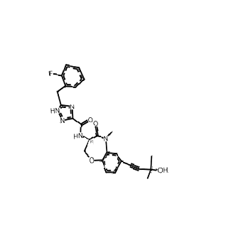 CN1C(=O)[C@H](NC(=O)c2n[nH]c(Cc3ccccc3F)n2)COc2ccc(C#CC(C)(C)O)cc21